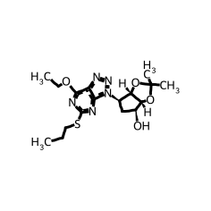 CCCSc1nc(OCC)c2nnn([C@@H]3C[C@H](O)[C@H]4OC(C)(C)O[C@H]43)c2n1